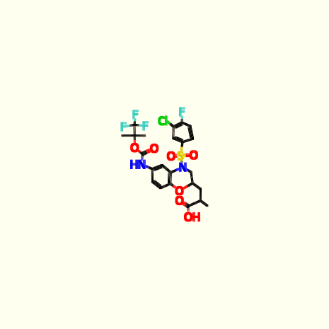 CC(CC1CN(S(=O)(=O)c2ccc(F)c(Cl)c2)c2cc(NC(=O)OC(C)(C)C(F)(F)F)ccc2O1)C(=O)O